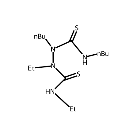 CCCCNC(=S)N(CCCC)N(CC)C(=S)NCC